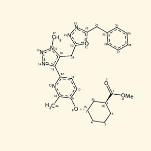 COC(=O)[C@H]1CCC[C@H](Oc2ccc(-c3nnn(C)c3Cc3nnc(Cc4ccccc4)o3)nc2C)C1